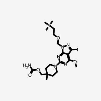 COc1nc(N2CCC(C)(COC(N)=O)CC2)nc2c1c(I)nn2COCC[Si](C)(C)C